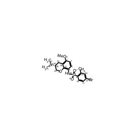 COc1ccc(NS(=O)(=O)c2ccc(Br)cc2C)c2c1C[C@@H](N(C)C)CO2